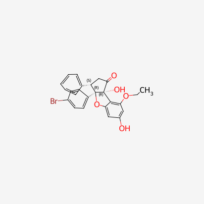 CCOc1cc(O)cc2c1[C@]1(O)C(=O)C[C@@H](c3ccccc3)[C@]1(c1ccc(Br)cc1)O2